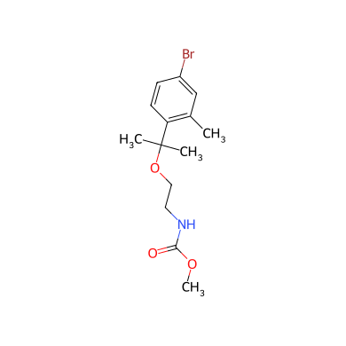 COC(=O)NCCOC(C)(C)c1ccc(Br)cc1C